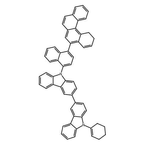 C1=Cc2c(-c3ccc(-n4c5ccccc5c5cc(-c6ccc7c(c6)c6ccccc6n7C6=CCCCC6)ccc54)c4ccccc34)cc3ccc4ccccc4c3c2CC1